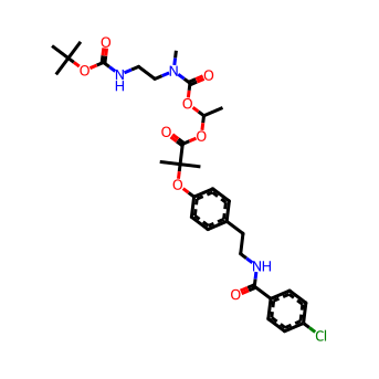 CC(OC(=O)N(C)CCNC(=O)OC(C)(C)C)OC(=O)C(C)(C)Oc1ccc(CCNC(=O)c2ccc(Cl)cc2)cc1